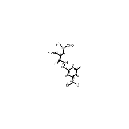 CCCCCC(CN(O)C=O)C(=O)NNc1nc(C)nc(N(CC)CC)n1